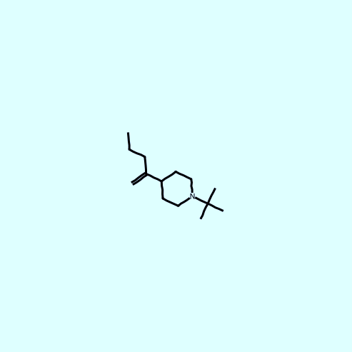 C=C(CCC)C1CCN(C(C)(C)C)CC1